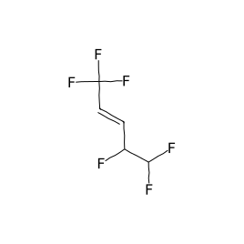 FC(F)C(F)C=CC(F)(F)F